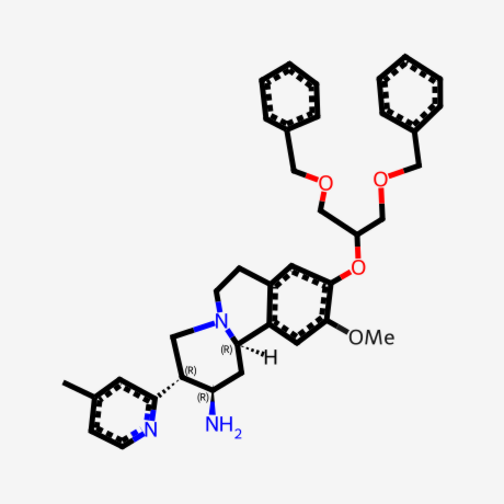 COc1cc2c(cc1OC(COCc1ccccc1)COCc1ccccc1)CCN1C[C@@H](c3cc(C)ccn3)[C@H](N)C[C@H]21